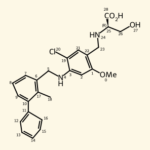 COc1cc(NCc2cccc(-c3ccccc3)c2C)c(Cl)cc1CN[C@H](CO)C(=O)O